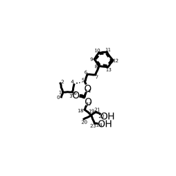 CC(C)CC[C@H](CCc1ccccc1)OC(=O)OCC(C)(CO)CO